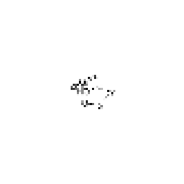 C=O.OO.[O-]S[O-].[Zn+2]